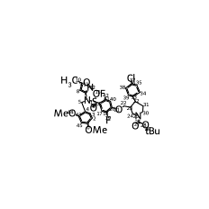 COc1ccc(CN(c2cc(C)on2)S(=O)(=O)c2cc(F)c(OCC3CN(C(=O)OC(C)(C)C)CCC3c3ccc(Cl)cc3)cc2F)c(OC)c1